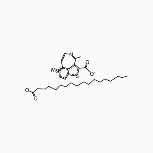 CC1=NC=Cc2cccc3sc(C(=O)[O-])c1c23.CCCCCCCCCCCCCCCCCC(=O)[O-].[Mg+2]